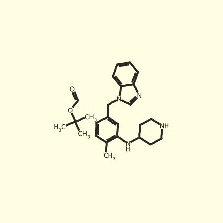 CC(C)(C)OC=O.Cc1ccc(Cn2cnc3ccccc32)cc1NC1CCNCC1